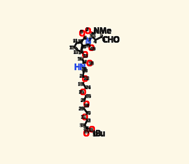 CNC(=O)C(CCC=O)N1C(=O)c2cccc(OCC(=O)NCCOCCOCCOCCOCCC(=O)OC(C)(C)C)c2C1=O